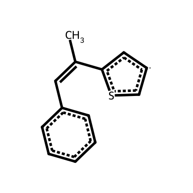 CC(=Cc1ccccc1)c1c[c]cs1